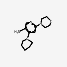 Nc1cnc(N2CCOCC2)cc1N1CCCCC1